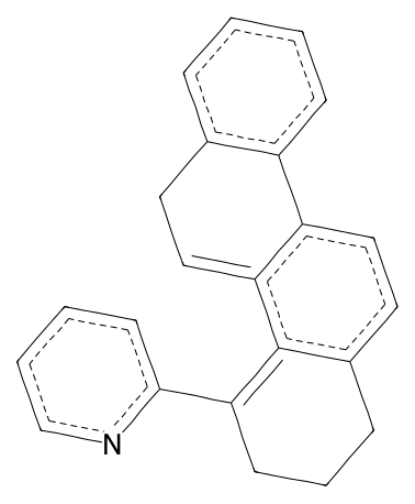 C1=c2c(ccc3c2=C(c2ccccn2)CCC3)-c2ccccc2C1